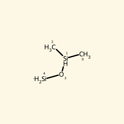 C[SiH](C)O[SiH2]